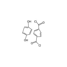 O=C(Cl)c1ccc(C(=O)Cl)cc1.Oc1ccc(O)cc1